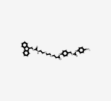 O=C(CCOCCOCCNC(=O)OCC1c2ccccc2-c2ccccc21)Oc1ccc(COC(=O)Oc2ccc([N+](=O)[O-])cc2)cc1